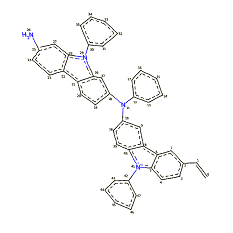 C=Cc1ccc2c(c1)c1cc(N(c3ccccc3)c3ccc4c5ccc(N)cc5n(-c5ccccc5)c4c3)ccc1n2-c1ccccc1